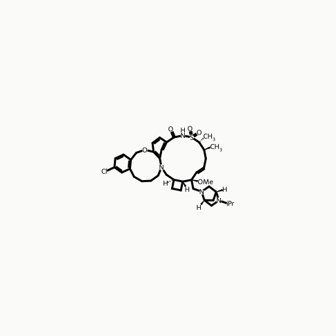 CO[C@]1(CN2C[C@H]3C[C@@H]2CN3C(C)C)/C=C/C[C@H](C)[C@@H](C)S(=O)(=O)NC(=O)c2ccc3c(c2)N(CCCCc2cc(Cl)ccc2CO3)C[C@@H]2CC[C@H]21